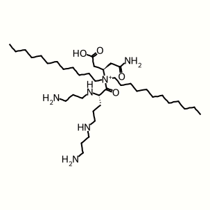 CCCCCCCCCCCC[N+](CCCCCCCCCCCC)(C(=O)[C@H](CCCNCCCN)NCCCN)[C@H](CC(N)=O)CC(=O)O